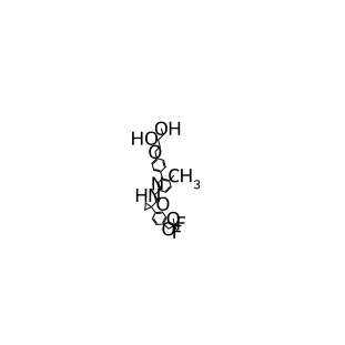 Cc1ccc(NC(=O)C2(c3ccc4c(c3)OC(F)(F)O4)CC2)nc1-c1ccc(OC[C@@H](O)CO)cc1